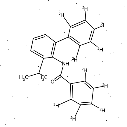 [2H]c1c([2H])c([2H])c(C(=O)Nc2c(-c3c([2H])c([2H])c([2H])c([2H])c3[2H])cccc2C(C)C)c([2H])c1[2H]